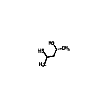 CC(S)C[C@@H](C)O